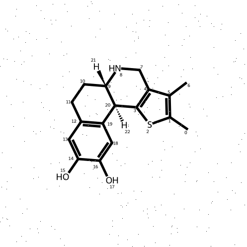 Cc1sc2c(c1C)CN[C@H]1CCc3cc(O)c(O)cc3[C@H]21